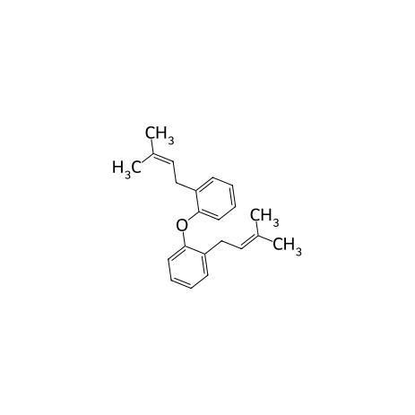 CC(C)=CCc1ccccc1Oc1ccccc1CC=C(C)C